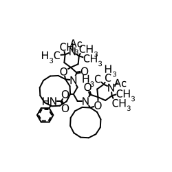 CC(=O)N1C(C)(C)CC2(CC1(C)C)OC1(CCCCCCCCCCC1)N(CC(CN1C(=O)C3(CC(C)(C)N(C(C)=O)C(C)(C)C3)OC13CCCCCCCCCCC3)OC(=O)Nc1ccccc1)C2=O